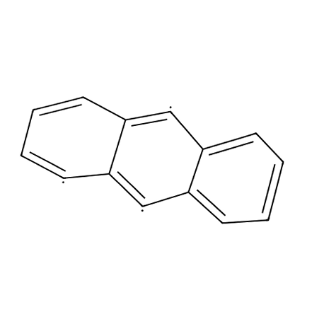 [c]1cccc2[c]c3ccccc3[c]c12